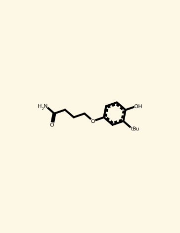 CC(C)(C)c1cc(OCCCC(N)=O)ccc1O